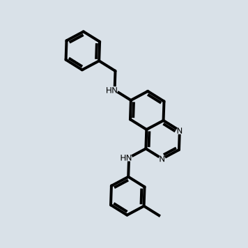 Cc1cccc(Nc2ncnc3ccc(NCc4ccccc4)cc23)c1